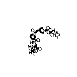 CC(=O)NC(CNC(=O)[C@@H]1CCCN(C(=O)/C=C/C2CCN(C(=O)OC(C)(C)C)CC2)C1)C(=O)O